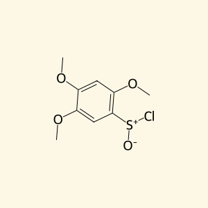 COc1cc(OC)c([S+]([O-])Cl)cc1OC